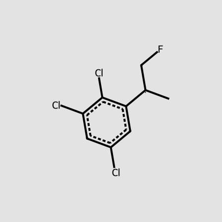 C[C](CF)c1cc(Cl)cc(Cl)c1Cl